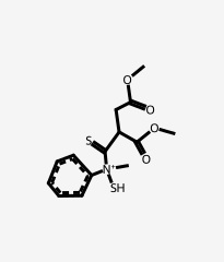 COC(=O)CC(C(=O)OC)C(=S)[N+](C)(S)c1ccccc1